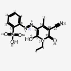 CCn1c(O)c(/N=N/c2ccccc2S(=O)(=O)O)c(C)c(C#N)c1=O